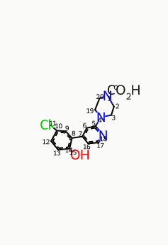 O=C(O)N1CCN(c2cc(-c3cc(Cl)ccc3O)ccn2)CC1